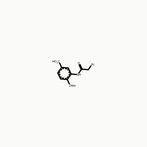 COc1ccc(C(=O)O)cc1NC(=O)CC(C)=O